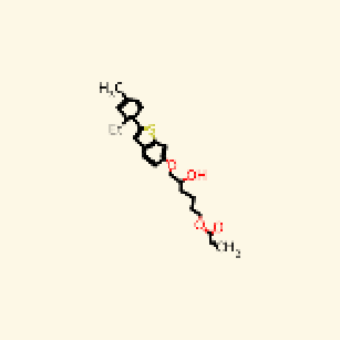 C=CC(=O)OCCCCC(O)COc1ccc2cc(-c3ccc(C)cc3CC)sc2c1